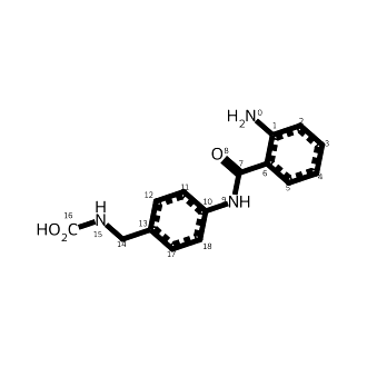 Nc1ccccc1C(=O)Nc1ccc(CNC(=O)O)cc1